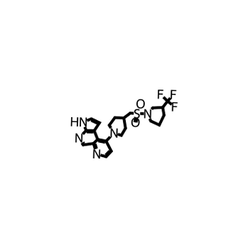 O=S(=O)(CC1CCN(c2ccnc3cnc4[nH]ccc4c23)CC1)N1CCCC(C(F)(F)F)C1